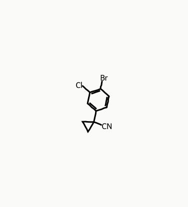 N#CC1(c2ccc(Br)c(Cl)c2)CC1